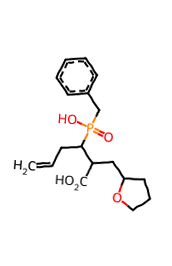 C=CCC(C(CC1CCCO1)C(=O)O)P(=O)(O)Cc1ccccc1